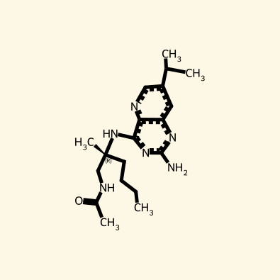 CCCC[C@](C)(CNC(C)=O)Nc1nc(N)nc2cc(C(C)C)cnc12